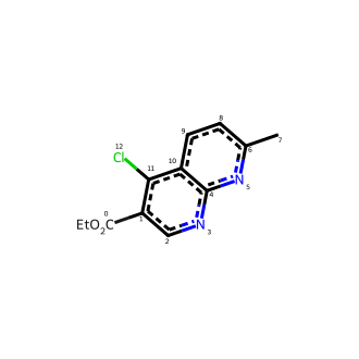 CCOC(=O)c1cnc2nc(C)ccc2c1Cl